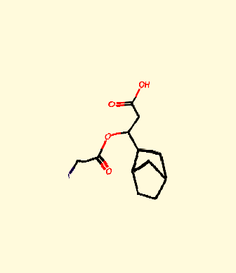 O=C(O)CC(OC(=O)CI)C1CC2CCC1C2